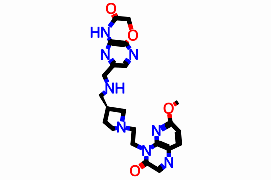 COc1ccc2ncc(=O)n(CCN3CC[C@@H](CNCc4cnc5c(n4)NC(=O)CO5)C3)c2n1